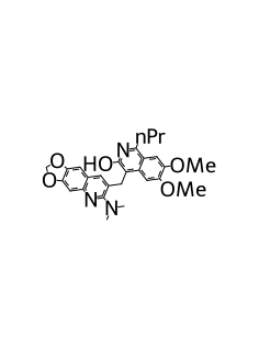 CCCc1nc(O)c(Cc2cc3cc4c(cc3nc2N(C)C)OCO4)c2cc(OC)c(OC)cc12